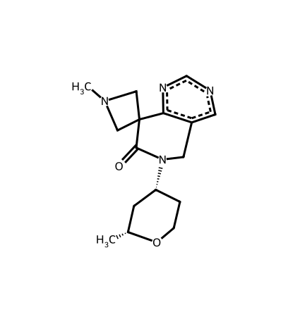 C[C@@H]1C[C@H](N2Cc3cncnc3C3(CN(C)C3)C2=O)CCO1